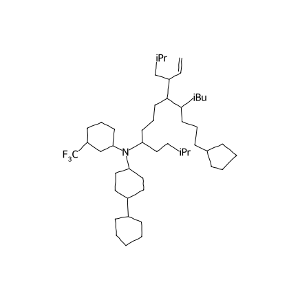 C=CC(CC(C)C)C(CCCC(CCC(C)C)N(C1CCC(C2CCCCC2)CC1)C1CCCC(C(F)(F)F)C1)C(CCCC1CCCC1)C(C)CC